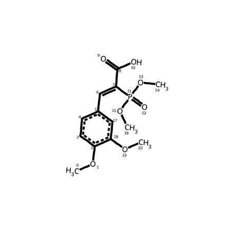 COc1ccc(C=C(C(=O)O)P(=O)(OC)OC)cc1OC